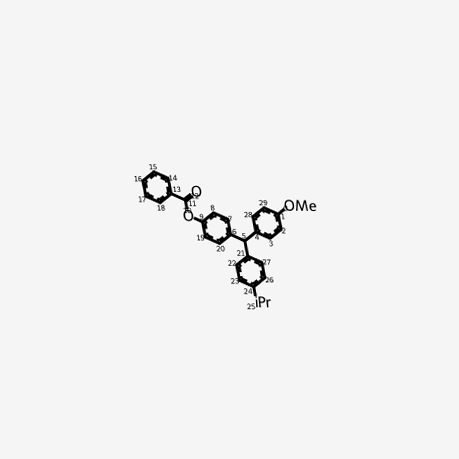 COc1ccc(C(c2ccc(OC(=O)c3ccccc3)cc2)c2ccc(C(C)C)cc2)cc1